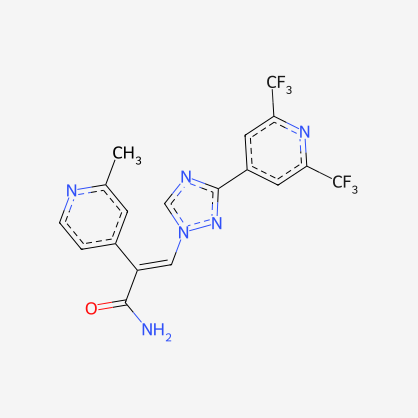 Cc1cc(/C(=C\n2cnc(-c3cc(C(F)(F)F)nc(C(F)(F)F)c3)n2)C(N)=O)ccn1